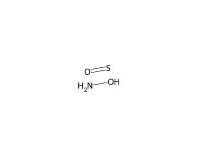 NO.O=S